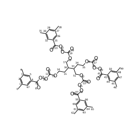 Cc1cc(C)cc(C(=O)OOC(=O)OCCC(COC(=O)OOC(=O)c2cc(C)cc(C)c2)C(CCOC(=O)OOC(=O)c2cc(C)cc(C)c2)COC(=O)OOC(=O)c2cc(C)cc(C)c2)c1